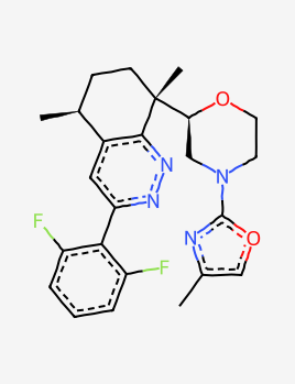 Cc1coc(N2CCO[C@H]([C@@]3(C)CC[C@H](C)c4cc(-c5c(F)cccc5F)nnc43)C2)n1